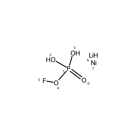 O=P(O)(O)OF.[LiH].[Ni]